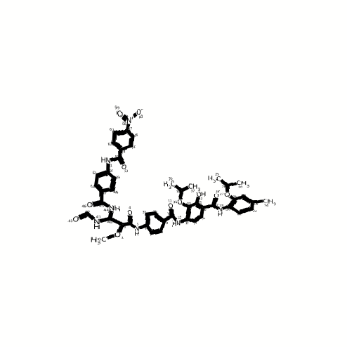 COC(C(=O)Nc1ccc(C(=O)Nc2ccc(C(=O)Nc3ccc(C)cc3OC(C)C)c(O)c2OC(C)C)cc1)C(NC=O)NC(=O)c1ccc(NC(=O)c2ccc([N+](=O)[O-])cc2)cc1